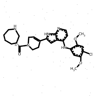 COc1cc(Nc2ccnc3[nH]c(C4=CCN(C(=O)[C@@H]5CCCCNC5)CC4)cc23)c(OC)cc1Cl